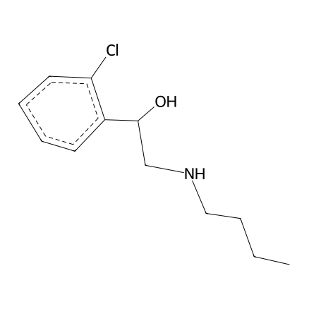 CCCCNCC(O)c1ccccc1Cl